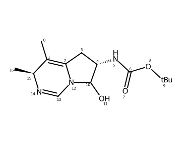 CC1=C2C[C@H](NC(=O)OC(C)(C)C)C(O)N2C=N[C@H]1C